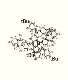 Cc1cc2c(cc1N1c3ccc(N(c4ccc(C(C)(C)C)cc4)c4ccc(C(C)(C)C)cc4)cc3B3c4cc5c(cc4N(c4ccc(C(C)(C)C)cc4-c4ccccc4)c4cc(C(C)(C)C)cc1c43)C(C)(C)c1ccccc1C5(C)C)C(C)(C)c1ccccc1C2(C)C